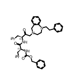 CC(C)C[C@H](NC(=O)[C@H](CC(C)C)NC(=O)OCc1ccccc1)C(=O)CN1CCN(CCc2ccccc2)c2ccccc2C1